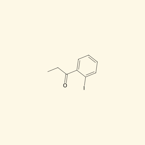 CCC(=O)c1ccccc1I